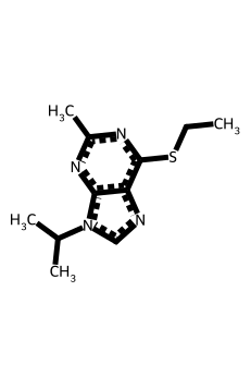 CCSc1nc(C)nc2c1ncn2C(C)C